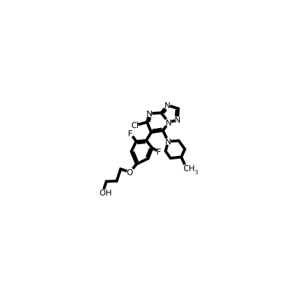 CC1CCN(c2c(-c3c(F)cc(OCCCO)cc3F)c(Cl)nc3ncnn23)CC1